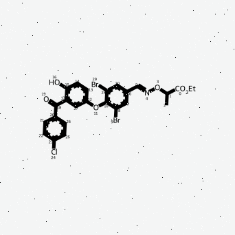 CCOC(=O)C(C)ON=Cc1cc(Br)c(Oc2ccc(O)c(C(=O)c3ccc(Cl)cc3)c2)c(Br)c1